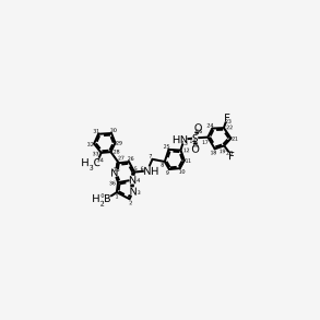 Bc1cnn2c(NCc3cccc(NS(=O)(=O)c4cc(F)cc(F)c4)c3)cc(-c3ccccc3C)nc12